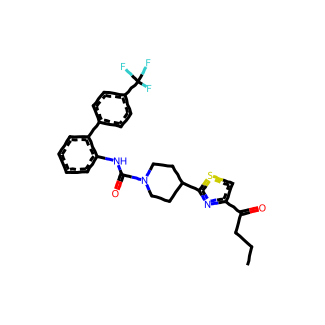 CCCC(=O)c1csc(C2CCN(C(=O)Nc3ccccc3-c3ccc(C(F)(F)F)cc3)CC2)n1